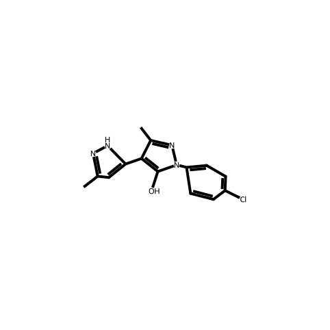 Cc1cc(-c2c(C)nn(-c3ccc(Cl)cc3)c2O)[nH]n1